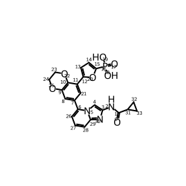 O=C(Nc1cn2c(-c3cc4c(c(-c5ccc(P(=O)(O)O)o5)c3)OCCO4)cccc2n1)C1CC1